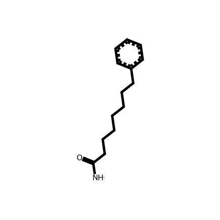 [NH]C(=O)CCCCCCCc1ccccc1